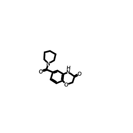 O=C1COc2ccc(C(=O)N3CCCCC3)cc2N1